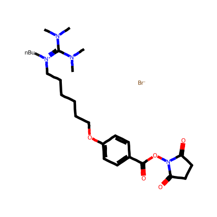 CCCC[N+](CCCCCCOc1ccc(C(=O)ON2C(=O)CCC2=O)cc1)=C(N(C)C)N(C)C.[Br-]